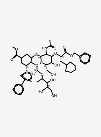 COC(=O)C1CC(O[C@@H]2O[C@@H](CO)C(O)C(O[C@@H](CC3CCCCC3)C(=O)OCc3ccccc3)C2NC(C)=O)C(O[C@@H](C)OC(C)C(O)[C@H](O)CO)[C@H](n2cc(-c3ccccc3)nn2)C1